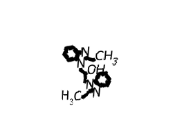 CCc1nc2ccccc2n1CC(O)Cn1c(CC)nc2ccccc21